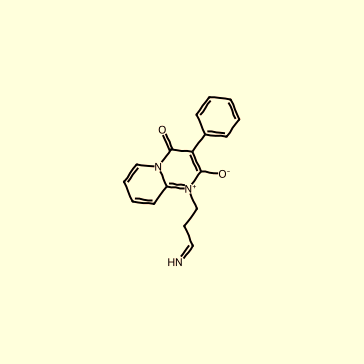 N=CCC[n+]1c([O-])c(-c2ccccc2)c(=O)n2ccccc21